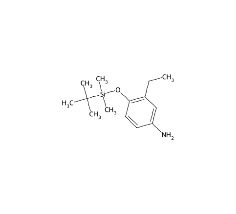 CCc1cc(N)ccc1O[Si](C)(C)C(C)(C)C